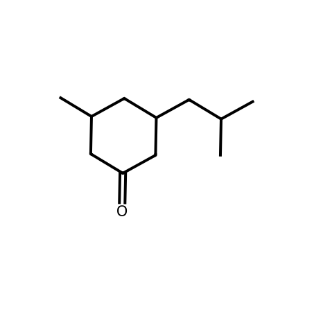 CC(C)CC1CC(=O)CC(C)C1